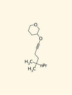 CCCC(C)(C)CCC#COC1CCCOC1